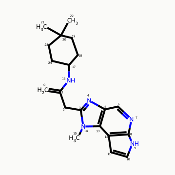 C=C(Cc1nc2cnc3[nH]ccc3c2n1C)NC1CCC(C)(C)CC1